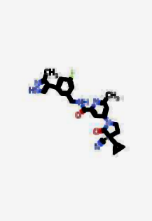 Cc1cc(N2CC[C@@](C#N)(C3CC3)C2=O)cc(C(=O)NCc2cc(F)cc(-c3c[nH]nc3C)c2)n1